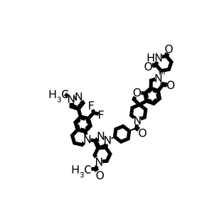 CC(=O)N1CCc2c(c(N3CCCc4cc(-c5cnn(C)c5)c(C(F)F)cc43)nn2[C@H]2CC[C@H](C(=O)N3CCC4(CC3)COc3c4ccc4c3CN([C@H]3CCC(=O)NC3=O)C4=O)CC2)C1